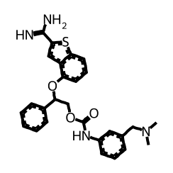 CN(C)Cc1cccc(NC(=O)OCC(Oc2cccc3sc(C(=N)N)cc23)c2ccccc2)c1